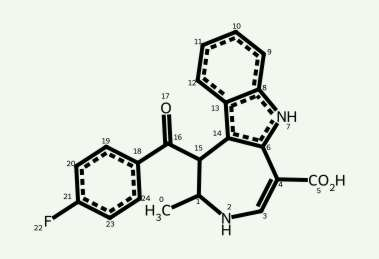 CC1NC=C(C(=O)O)c2[nH]c3ccccc3c2C1C(=O)c1ccc(F)cc1